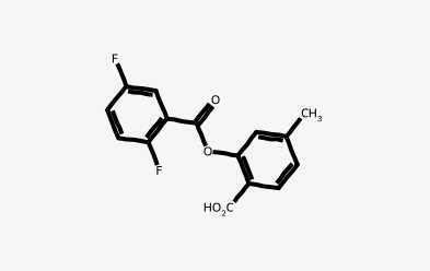 Cc1ccc(C(=O)O)c(OC(=O)c2cc(F)ccc2F)c1